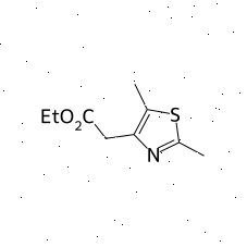 CCOC(=O)Cc1nc(C)sc1C